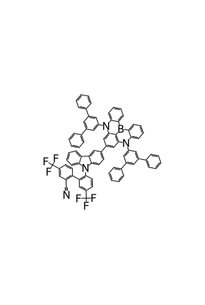 N#Cc1cc(C(F)(F)F)ccc1-c1cc(C(F)(F)F)ccc1-n1c2ccccc2c2cc(-c3cc4c5c(c3)N(c3cc(-c6ccccc6)cc(-c6ccccc6)c3)c3ccccc3B5c3ccccc3N4c3cc(-c4ccccc4)cc(-c4ccccc4)c3)ccc21